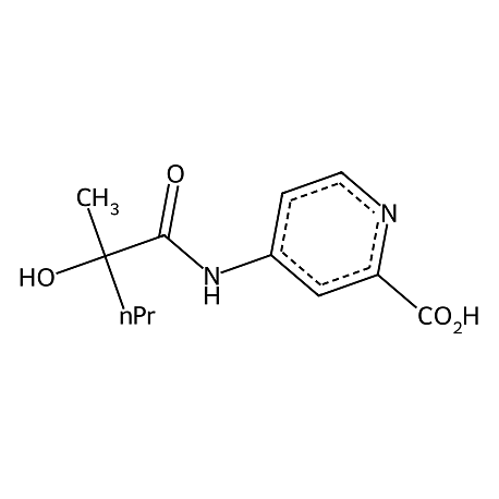 CCCC(C)(O)C(=O)Nc1ccnc(C(=O)O)c1